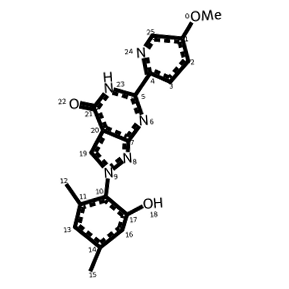 COc1ccc(-c2nc3nn(-c4c(C)cc(C)cc4O)cc3c(=O)[nH]2)nc1